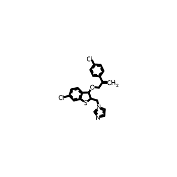 C=C(COC1c2ccc(Cl)cc2SC1Cn1ccnc1)c1ccc(Cl)cc1